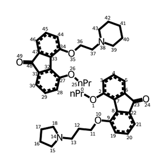 CCCOc1cccc2c1-c1c(OCCCN3CCCC3)cccc1C2=O.CCCOc1cccc2c1-c1c(OCCN3CCCCC3)cccc1C2=O